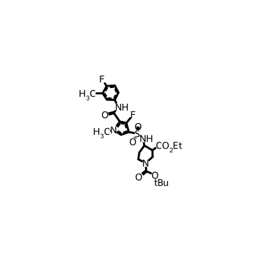 CCOC(=O)C1CN(C(=O)OC(C)(C)C)CCC1NS(=O)(=O)c1cn(C)c(C(=O)Nc2ccc(F)c(C)c2)c1F